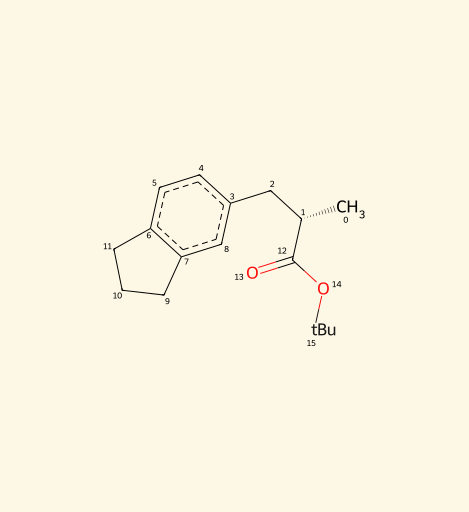 C[C@@H](Cc1ccc2c(c1)CCC2)C(=O)OC(C)(C)C